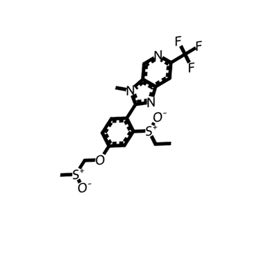 CC[S+]([O-])c1cc(OC[S+](C)[O-])ccc1-c1nc2cc(C(F)(F)F)ncc2n1C